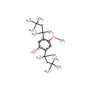 COc1cc(C(C)(C)CC(C)(C)C)c(O)cc1C(C)(C)CC(C)(C)C